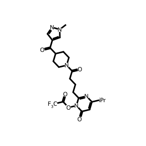 CC(C)c1cc(=O)n(OC(=O)C(F)(F)F)c(CCCC(=O)N2CCC(C(=O)c3cnn(C)c3)CC2)n1